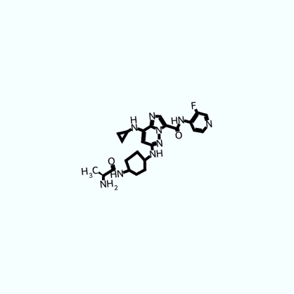 C[C@H](N)C(=O)NC1CCC(Nc2cc(NC3CC3)c3ncc(C(=O)Nc4ccncc4F)n3n2)CC1